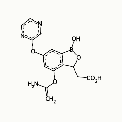 C=C(N)Oc1cc(Oc2cnccn2)cc2c1C(CC(=O)O)OB2O